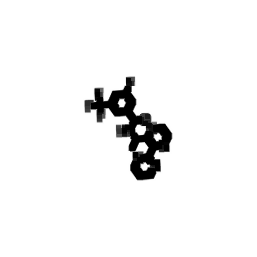 CC(NC(=O)c1cc(F)cc(C(F)(F)F)c1)c1nccnc1-c1ncccn1